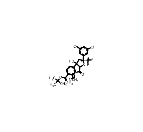 CCOC(=O)C1S[C@](c2cc(Cl)cc(Cl)c2)(C(F)(F)F)CC1(O)c1ccc(C(=O)OC(C)(C)C)c(C)c1